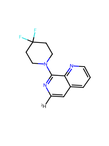 [2H]c1cc2cccnc2c(N2CCC(F)(F)CC2)n1